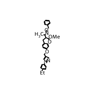 CCc1ccc(-n2cc(COc3ccc(CC(C(=O)OC)/C(C)=N/OCc4ccccc4)cc3)cn2)cc1